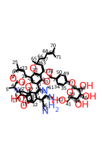 COC(=O)/C(C)=C\CC1(O)C(=O)C2CC(C(C)C)C13Oc1c(CC=C(C)C)c4c(c(OC(=O)c5ccc(O[C@@H]6O[C@H](CO)[C@@H](O)[C@H](O)[C@H]6O)cc5)c1C1=C3C2C(C#N)=C(N)N1C)C=CC(C)(CCC=C(C)C)O4